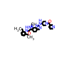 CCc1cccc(CC)c1NC(=O)c1nn(C)c2c1CCc1cnc(NC3CCN(C(=O)c4cccnc4)CC3)nc1-2